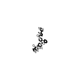 Cn1c(C(=O)N2CC[C@@H](C(=O)N3CCC(O)(Cn4cnc5c(ccn5C)c4=O)CC3)[C@H](c3ccccc3)C2)ccc1-c1cncnc1